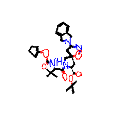 CC(C)(C)OC(=O)[C@@H]1C[C@]2(CC(N3Cc4ccccc4C3)=NO2)CN1C(=O)[C@@H](NC(=O)OC1CCCC1)C(C)(C)C